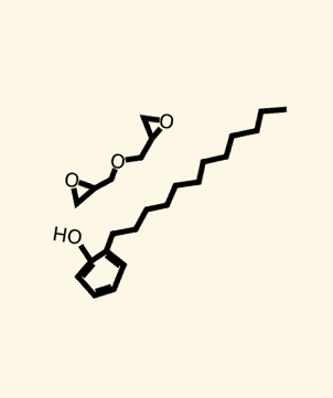 C(OCC1CO1)C1CO1.CCCCCCCCCCCCc1ccccc1O